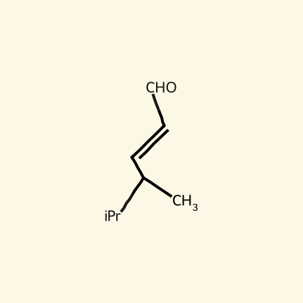 CC(C)C(C)/C=C/C=O